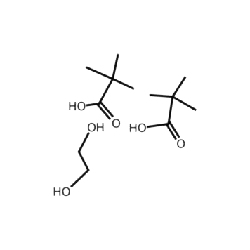 CC(C)(C)C(=O)O.CC(C)(C)C(=O)O.OCCO